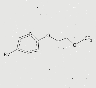 FC(F)(F)OCCOc1ccc(Br)cn1